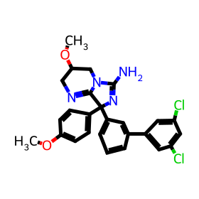 COc1ccc(C2(c3cccc(-c4cc(Cl)cc(Cl)c4)c3)N=C(N)N3CC(OC)CN=C32)cc1